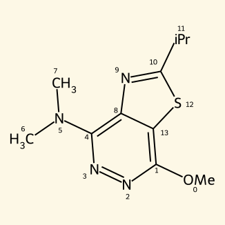 COc1nnc(N(C)C)c2nc(C(C)C)sc12